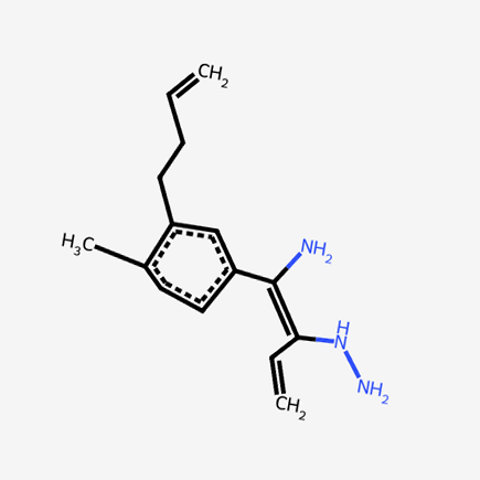 C=CCCc1cc(/C(N)=C(\C=C)NN)ccc1C